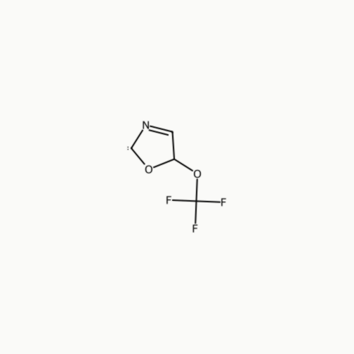 FC(F)(F)OC1C=N[C]O1